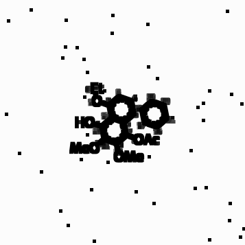 CCOc1cccc2c(OC(C)=O)c(OC)c(OC)c(O)c12.c1ccccc1